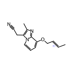 C/C=C/COc1cccn2c(CC#N)c(C)nc12